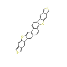 c1scc2cc3c(cc12)sc1cc2c(ccc4c2ccc2c5cc6cscc6cc5sc24)cc13